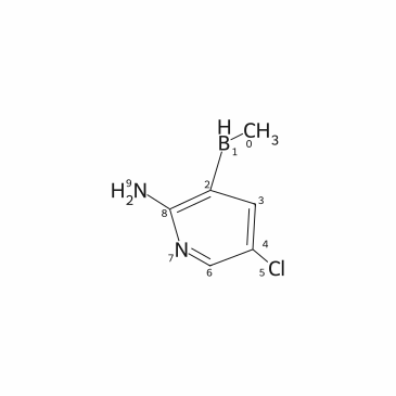 CBc1cc(Cl)cnc1N